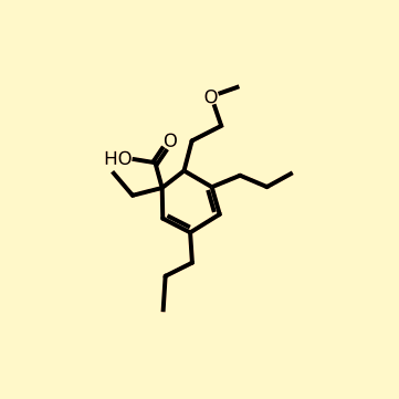 CCCC1=CC(CC)(C(=O)O)C(CCOC)C(CCC)=C1